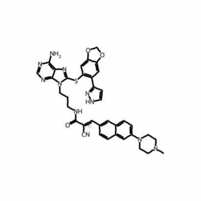 CN1CCN(c2ccc3cc(/C=C(\C#N)C(=O)NCCCn4c(Sc5cc6c(cc5-c5cc[nH]n5)OCO6)nc5c(N)ncnc54)ccc3c2)CC1